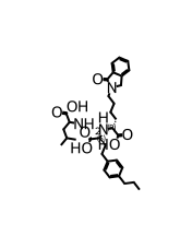 CC(C)CC(N)C(=O)O.CCCc1ccc(CC[C@H](N[C@H](CCCCN2Cc3ccccc3C2=O)C(=O)O)C(=O)O)cc1